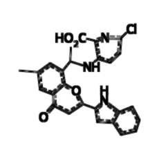 Cc1cc(C(C)Nc2ccc(Cl)nc2C(=O)O)c2oc(-c3cc4ccccc4[nH]3)cc(=O)c2c1